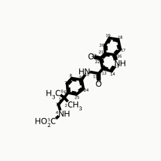 CC(C)(CNC(=O)O)c1ccc(NC(=O)c2c[nH]c3ccccc3c2=O)cc1